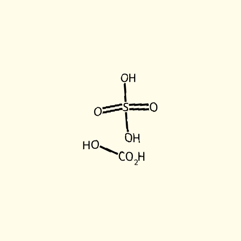 O=C(O)O.O=S(=O)(O)O